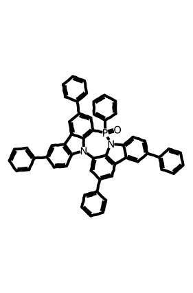 O=P1(c2ccccc2)c2cc(-c3ccccc3)cc3c4cc(-c5ccccc5)ccc4n(c23)-c2cc(-c3ccccc3)cc3c4cc(-c5ccccc5)ccc4n1c23